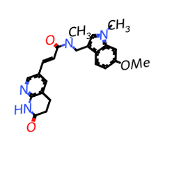 COc1ccc2c(CN(C)C(=O)C=Cc3cnc4c(c3)CCC(=O)N4)cn(C)c2c1